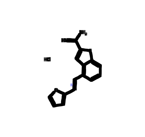 Cl.N=C(N)c1cc2c(/C=C/c3ccco3)cccc2s1